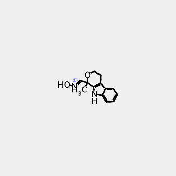 CC1(/C=N/O)OCCc2c1[nH]c1ccccc21